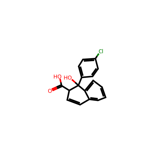 O=C(O)C1C=Cc2ccccc2C1(O)c1ccc(Cl)cc1